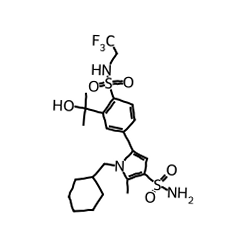 Cc1c(S(N)(=O)=O)cc(-c2ccc(S(=O)(=O)NCC(F)(F)F)c(C(C)(C)O)c2)n1CC1CCCCC1